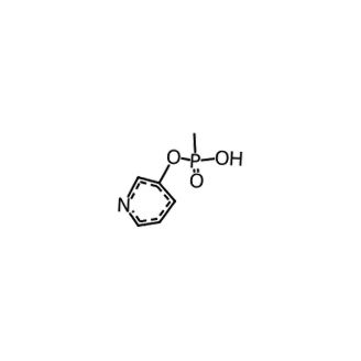 CP(=O)(O)Oc1cccnc1